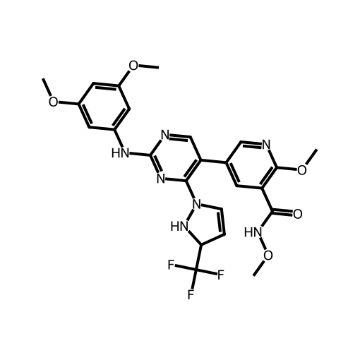 CONC(=O)c1cc(-c2cnc(Nc3cc(OC)cc(OC)c3)nc2N2C=CC(C(F)(F)F)N2)cnc1OC